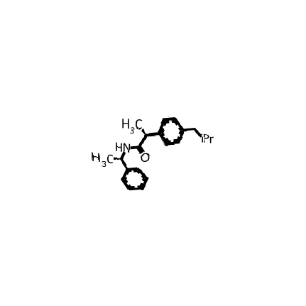 CC(C)Cc1ccc([C@H](C)C(=O)N[C@H](C)c2ccccc2)cc1